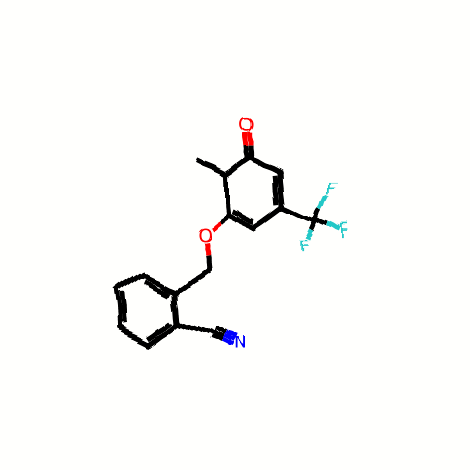 CC1C(=O)C=C(C(F)(F)F)C=C1OCc1ccccc1C#N